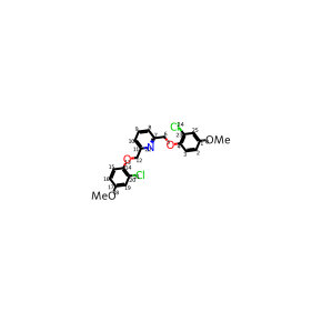 COc1ccc(OCc2cccc(COc3ccc(OC)cc3Cl)n2)c(Cl)c1